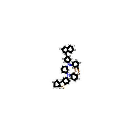 c1cc2cc(c1)N(c1ccc3sc4ccccc4c3c1)c1cccc3c1Sc1c(cccc1N2c1ccc(-c2cccc4ccccc24)cc1)S3